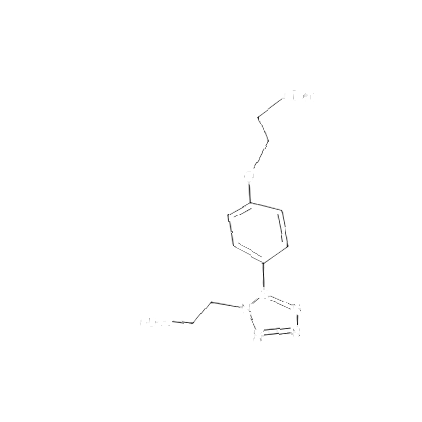 CCCCCCCCCCCCOc1ccc(S2=NN=NN2CCCCCCCCCCCC)cc1